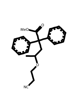 COC(=O)C(CC(C)OCCC#N)(c1ccccc1)c1ccccc1